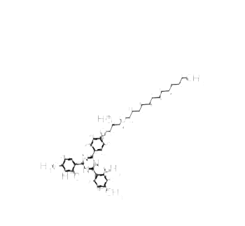 CCCCCCCCCCCCCOCC(O)COc1ccc(-c2nc(-c3ccc(C)cc3C)nc(-c3ccc(C)cc3C)n2)cc1